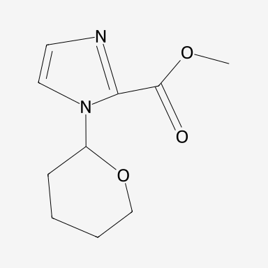 COC(=O)c1nccn1C1CCCCO1